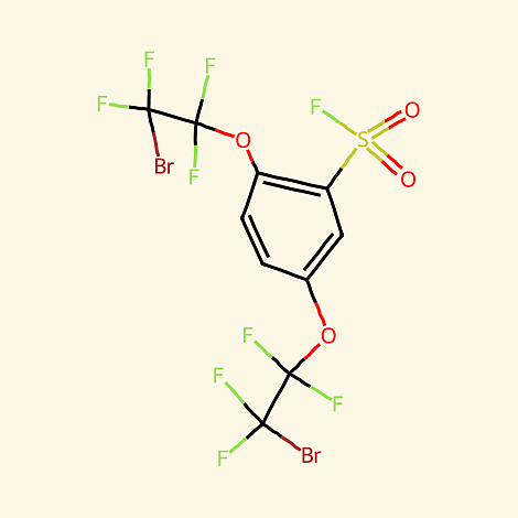 O=S(=O)(F)c1cc(OC(F)(F)C(F)(F)Br)ccc1OC(F)(F)C(F)(F)Br